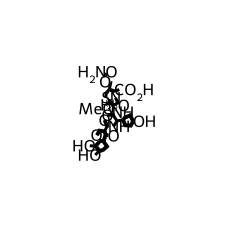 CO[C@@]1(NC(=O)C(NC(=O)c2coc3c(O)c(O)ccc3c2=O)c2ccc(O)cc2)C(=O)N2C(C(=O)O)=C(COC(N)=O)CS[C@H]21